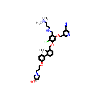 Cc1c(COc2cc(OCc3cncc(C#N)c3)c(CNCCCN(C)C)cc2Cl)cccc1-c1cccc(OCCCN2CC[C@@H](O)C2)c1